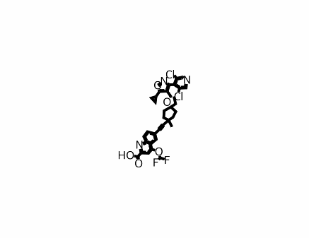 CCC1(OCc2c(-c3c(Cl)cncc3Cl)noc2C2CC2)CCC(C)(C#Cc2ccc3nc(C(=O)O)cc(OC(F)F)c3c2)CC1